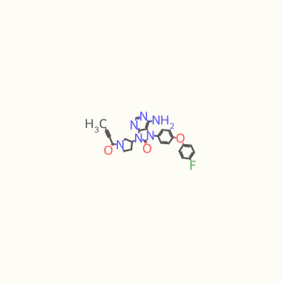 CC#CC(=O)N1CCC(n2c(=O)n(-c3ccc(Oc4ccc(F)cc4)cc3)c3c(N)ncnc32)C1